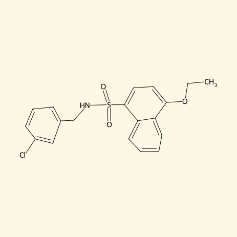 CCOc1ccc(S(=O)(=O)NCc2cccc(Cl)c2)c2ccccc12